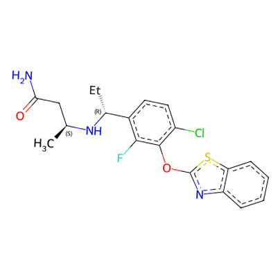 CC[C@@H](N[C@@H](C)CC(N)=O)c1ccc(Cl)c(Oc2nc3ccccc3s2)c1F